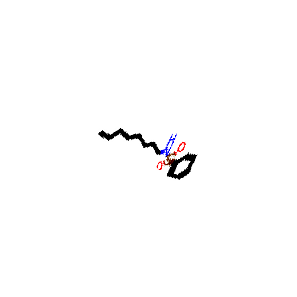 CCCCCCCCNS(=O)(=O)c1[c]cccc1